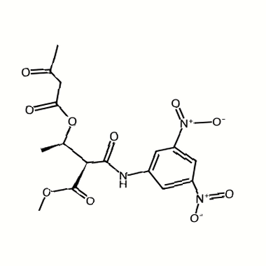 COC(=O)[C@H](C(=O)Nc1cc([N+](=O)[O-])cc([N+](=O)[O-])c1)[C@@H](C)OC(=O)CC(C)=O